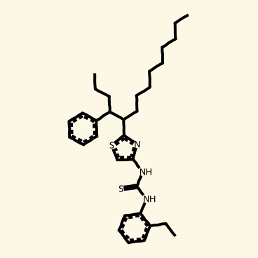 CCCCCCCCCC(c1nc(NC(=S)Nc2ccccc2CC)cs1)C(CCC)c1ccccc1